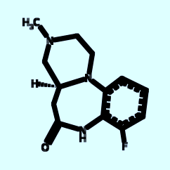 CN1CCN2c3cccc(F)c3NC(=O)C[C@H]2C1